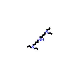 CCCN(CCC)CCCCCNCCCCCN(CCC)CCC